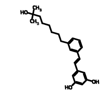 CC(C)(O)CCCCCCc1cccc(C=Cc2cc(O)cc(O)c2)c1